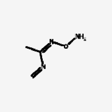 C=N/C(C)=N\ON